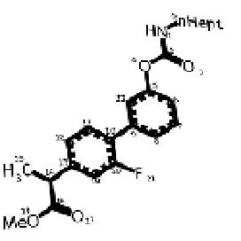 CCCCCCCNC(=O)Oc1cccc(-c2ccc(C(C)C(=O)OC)cc2F)c1